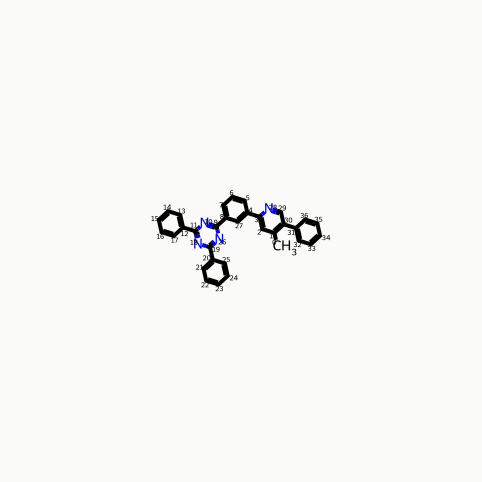 Cc1cc(-c2cccc(-c3nc(-c4ccccc4)nc(-c4ccccc4)n3)c2)ncc1-c1ccccc1